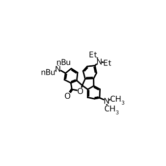 CCCCN(CCCC)c1ccc2c(c1)C(=O)OC21c2ccc(N(C)C)cc2-c2cc(N(CC)CC)ccc21